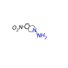 NCCN1CCc2ccc([N+](=O)[O-])cc2CC1